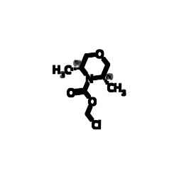 C[C@@H]1COC[C@H](C)N1C(=O)OCCl